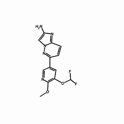 COc1ncc(-c2ccc3nc(N)cn3n2)cc1OC(F)F